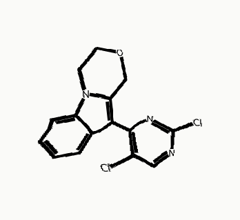 Clc1ncc(Cl)c(-c2c3n(c4ccccc24)CCOC3)n1